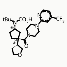 CC(C)(C)N(C(=O)O)[C@@H]1CC[C@@](C(=O)N2CCN(c3cc(C(F)(F)F)ccn3)CC2)([C@H]2CCOC2)C1